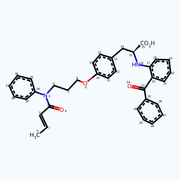 C/C=C/C(=O)N(CCCOc1ccc(C[C@H](Nc2ccccc2C(=O)c2ccccc2)C(=O)O)cc1)c1ccccc1